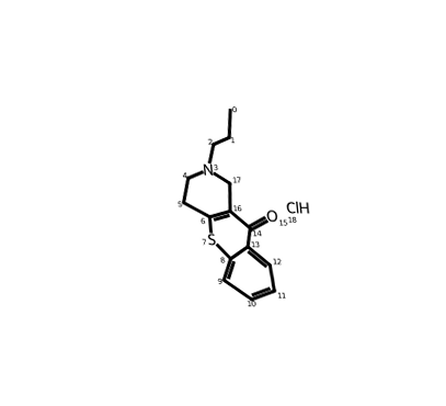 CCCN1CCc2sc3ccccc3c(=O)c2C1.Cl